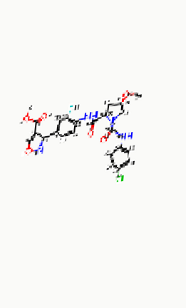 COC(=O)c1conc1-c1ccc(NC(=O)[C@H]2C[C@@H](OC)CN2C(=O)Nc2ccc(Cl)cc2)c(F)c1